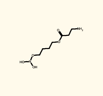 NCCC(=O)OCCCCON(O)O